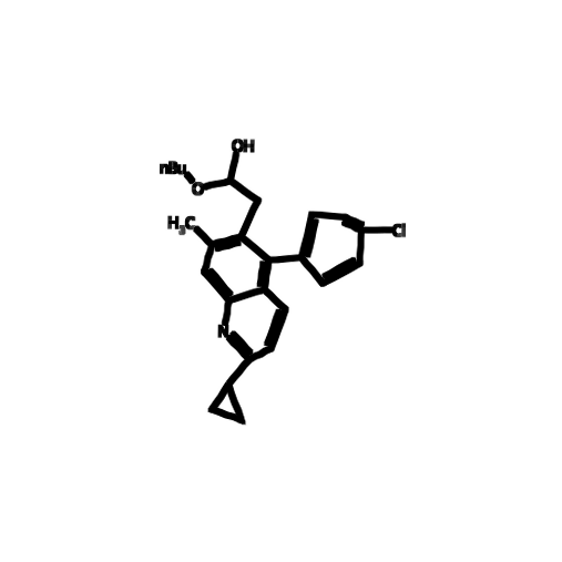 CCCCOC(O)Cc1c(C)cc2nc(C3CC3)ccc2c1-c1ccc(Cl)cc1